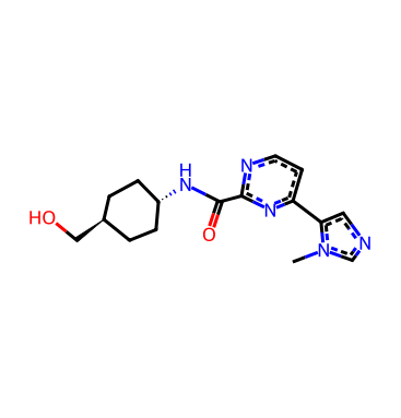 Cn1cncc1-c1ccnc(C(=O)N[C@H]2CC[C@H](CO)CC2)n1